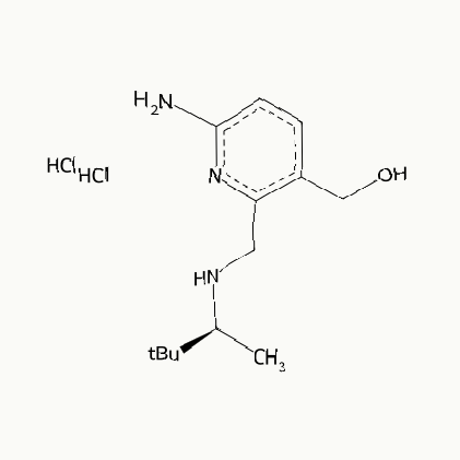 C[C@H](NCc1nc(N)ccc1CO)C(C)(C)C.Cl.Cl